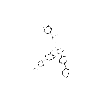 O=P(O)(O)c1ccc(-c2ccc([C@@H]3[C@@H](CCC[C@@H](O)c4ccc(F)cc4)NC(=S)N3c3ccc(-c4ccccc4)cc3)c(O)c2)cc1